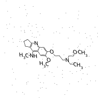 CCN(CCCOc1cc2nc3c(c(NC)c2cc1OC)CCC3)CCOC